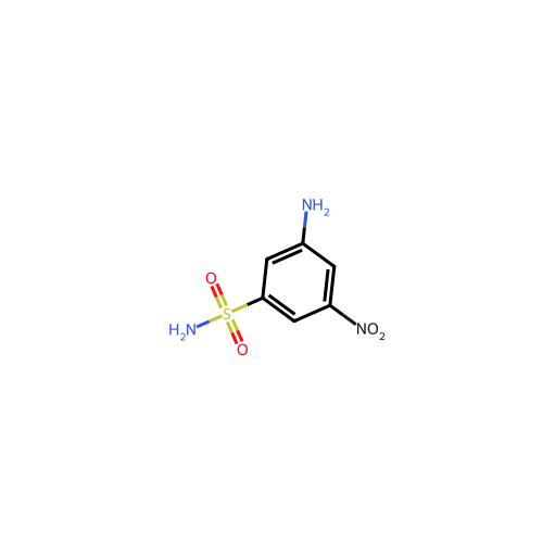 Nc1cc([N+](=O)[O-])cc(S(N)(=O)=O)c1